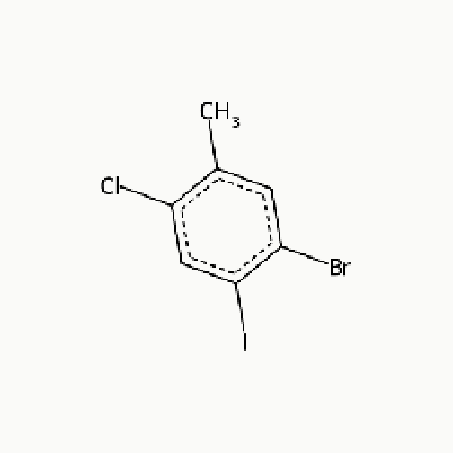 Cc1cc(Br)c(I)cc1Cl